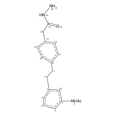 CC(=O)Nc1cccc(CCc2ccc(CC(=O)NN)cc2)c1